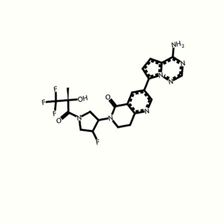 C[C@@](O)(C(=O)N1CC(F)C(N2CCc3ncc(-c4ccc5c(N)ncnn45)cc3C2=O)C1)C(F)(F)F